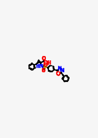 O=C(O)C1(NS(=O)(=O)c2ccc(-c3nnc(-c4ccccc4)o3)cc2)CC1c1ccccc1